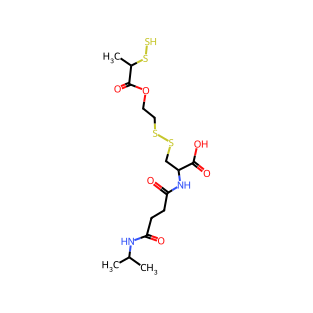 CC(C)NC(=O)CCC(=O)NC(CSSCCOC(=O)C(C)SS)C(=O)O